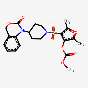 COC(=O)Oc1c(C)oc(C)c1S(=O)(=O)N1CCC(N2C(=O)OCc3ccccc32)CC1